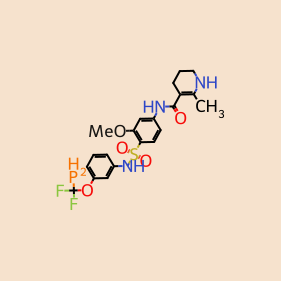 COc1cc(NC(=O)C2=C(C)NCCC2)ccc1S(=O)(=O)Nc1cccc(OC(F)(F)P)c1